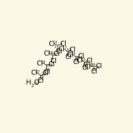 ClC(Cl)Cl.ClC(Cl)Cl.ClC(Cl)Cl.ClC(Cl)Cl.ClC(Cl)Cl.ClC(Cl)Cl.ClC(Cl)Cl.ClC(Cl)Cl.O